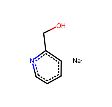 OCc1ccccn1.[Na]